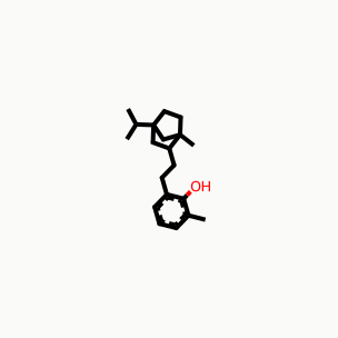 Cc1cccc(CCC2CC3(C(C)C)CCC2(C)C3)c1O